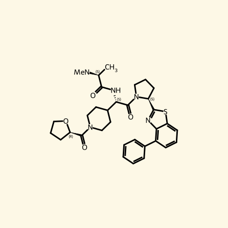 CN[C@@H](C)C(=O)N[C@H](C(=O)N1CCC[C@H]1c1nc2c(-c3ccccc3)cccc2s1)C1CCN(C(=O)[C@H]2CCCO2)CC1